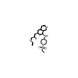 C=C/N=C\C(F)=C\c1cc(NC2CCN(S(=O)(=O)CC)CC2)c2cnccc2c1